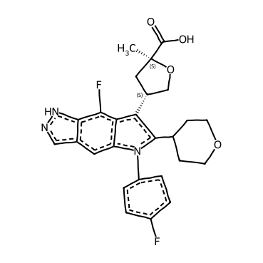 C[C@@]1(C(=O)O)C[C@@H](c2c(C3CCOCC3)n(-c3ccc(F)cc3)c3cc4cn[nH]c4c(F)c23)CO1